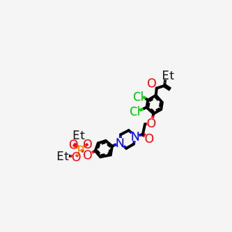 C=C(CC)C(=O)c1ccc(OCC(=O)N2CCN(c3ccc(OP(=O)(OCC)OCC)cc3)CC2)c(Cl)c1Cl